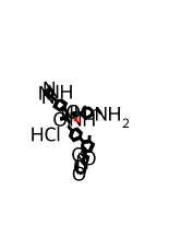 Cc1ccc(S(=O)(=O)N2CCOCC2)cc1-c1ccc(C[C@H](NC(=O)[C@H]2CC[C@H](CN)CC2)C(=O)Nc2ccc(-c3nnn[nH]3)cc2)cc1.Cl